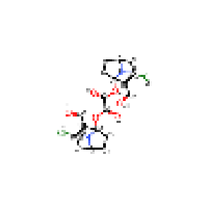 CN1C2CCC1(OC(=O)C(=O)OC13CCC(CC(Cl)=C1C=O)N3C)C(C=O)=C(Cl)C2